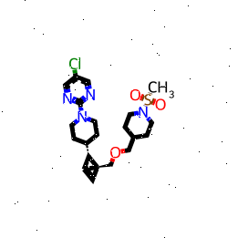 CS(=O)(=O)N1CCC(COC[C@@]23C=C2[C@@H]3C2CCN(c3ncc(Cl)cn3)CC2)CC1